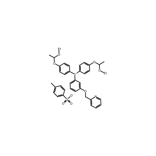 CCOC(C)Oc1ccc([S+](c2ccc(OC(C)OCC)cc2)c2cccc(OCc3ccccn3)c2)cc1.Cc1ccc(S(=O)(=O)[O-])cc1